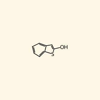 Oc1cc2ccccc2s1